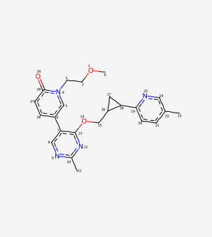 COCCn1cc(-c2cnc(C)nc2OCC2CC2c2ccc(C)cn2)ccc1=O